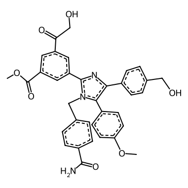 COC(=O)c1cc(C(=O)CO)cc(-c2nc(-c3ccc(CO)cc3)c(-c3ccc(OC)cc3)n2Cc2ccc(C(N)=O)cc2)c1